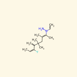 C=CN(N)/C(C)=C(\C)CC(C)(C)C(=C)/C(F)=C\C